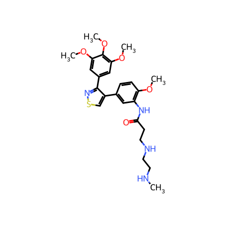 CNCCNCCC(=O)Nc1cc(-c2csnc2-c2cc(OC)c(OC)c(OC)c2)ccc1OC